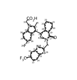 Cc1c(-c2nn(Cc3nc4cc(C(F)(F)F)ccc4s3)c(=O)c3ccccc23)c2cc(F)ccc2n1CC(=O)O